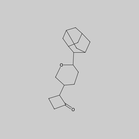 O=C1CCC1C1CCC(C2C3CC4CC(C3)CC2C4)OC1